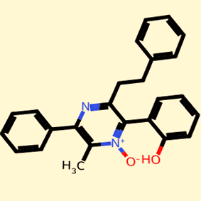 Cc1c(-c2ccccc2)nc(CCc2ccccc2)c(-c2ccccc2O)[n+]1[O-]